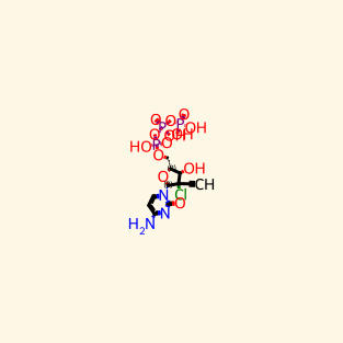 C#CC1(Cl)C(O)[C@@H](COP(=O)(O)OP(=O)(O)OP(=O)(O)O)O[C@H]1n1ccc(N)nc1=O